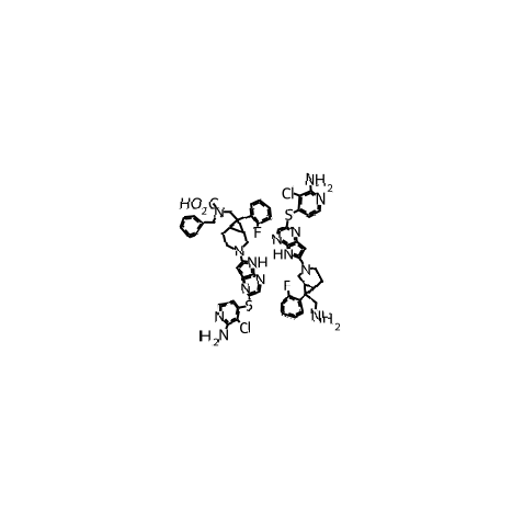 NCC1(c2ccccc2F)C2CCN(c3cc4nc(Sc5ccnc(N)c5Cl)cnc4[nH]3)CC21.Nc1nccc(Sc2cnc3[nH]c(N4CCC5C(C4)C5(CN(Cc4ccccc4)C(=O)O)c4ccccc4F)cc3n2)c1Cl